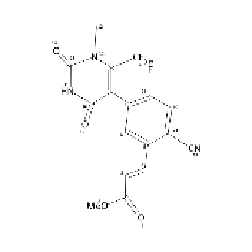 COC(=O)C=Cc1cc(-c2c(C(F)(F)F)n(C)c(=O)[nH]c2=O)c(F)cc1C#N